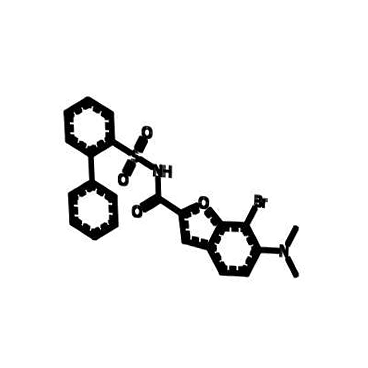 CN(C)c1ccc2cc(C(=O)NS(=O)(=O)c3ccccc3-c3ccccc3)oc2c1Br